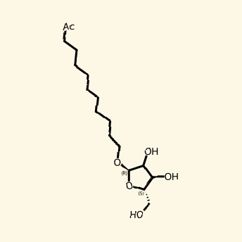 CC(=O)CCCCCCCCCCO[C@@H]1O[C@@H](CO)C(O)C1O